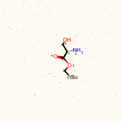 CC(C)(C)COC(=O)[C@@H](N)CO